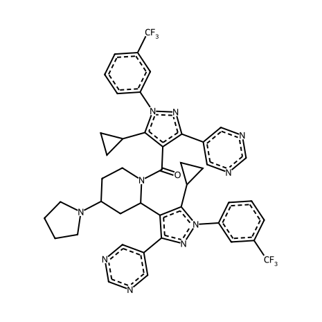 O=C(c1c(-c2cncnc2)nn(-c2cccc(C(F)(F)F)c2)c1C1CC1)N1CCC(N2CCCC2)CC1c1c(-c2cncnc2)nn(-c2cccc(C(F)(F)F)c2)c1C1CC1